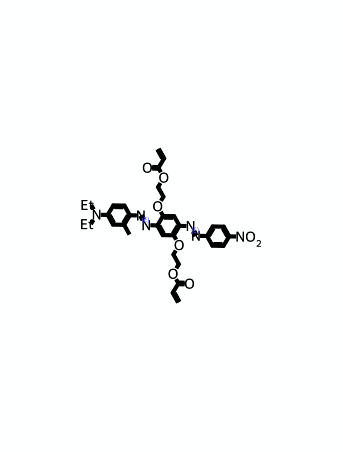 C=CC(=O)OCCOc1cc(/N=N/c2ccc(N(CC)CC)cc2C)c(OCCOC(=O)C=C)cc1/N=N/c1ccc([N+](=O)[O-])cc1